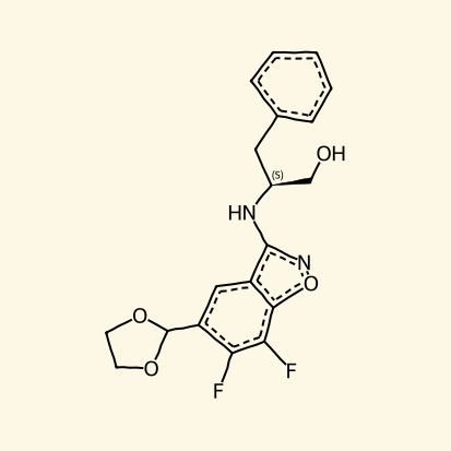 OC[C@H](Cc1ccccc1)Nc1noc2c(F)c(F)c(C3OCCO3)cc12